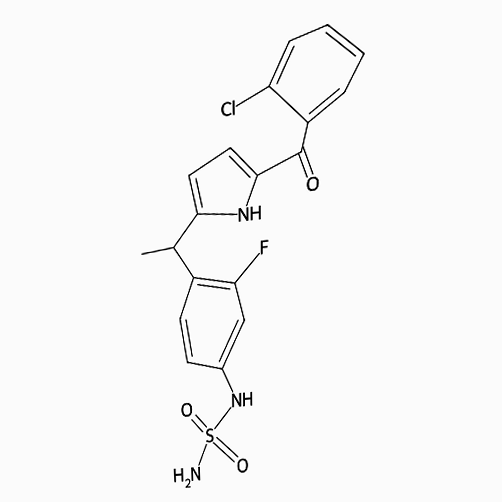 CC(c1ccc(C(=O)c2ccccc2Cl)[nH]1)c1ccc(NS(N)(=O)=O)cc1F